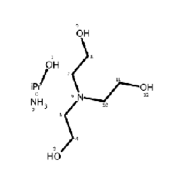 CC(C)O.N.OCCN(CCO)CCO